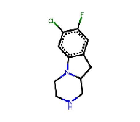 Fc1cc2c(cc1Cl)N1CCNCC1C2